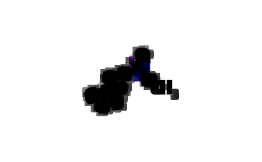 CC1C=CC(c2nc(-c3ccccc3)c(I)c(-c3ccc(-c4cccc(-c5cc(-c6ccccc6)c(-c6ccccc6)c(-c6ccccc6)c5-c5ccccc5)c4)cc3)n2)=CC1